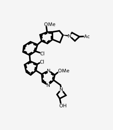 COc1cc(-c2cccc(-c3cccc(-c4cnc(CN5CC(O)C5)c(OC)n4)c3Cl)c2Cl)cc2c1C[C@@H](N1CC(C(C)=O)C1)C2